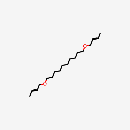 CC=CCOCCCCCCCCCCOCC=CC